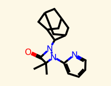 CC1(C)C(=O)N(C2C3CC4CC(C3)CC2C4)N1c1ccccn1